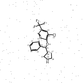 FC(F)(F)c1cnc(O[C@H](c2ccccc2)[C@@H]2CCNC2)c(Cl)c1